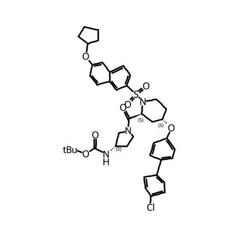 CC(C)(C)OC(=O)N[C@H]1CCN(C(=O)[C@@H]2C[C@@H](Oc3ccc(-c4ccc(Cl)cc4)cc3)CCN2S(=O)(=O)c2ccc3cc(OC4CCCC4)ccc3c2)C1